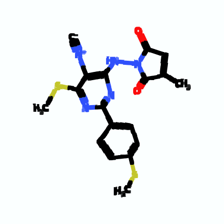 [C-]#[N+]c1c(NN2C(=O)C=C(C)C2=O)nc(-c2ccc(SC)cc2)nc1SC